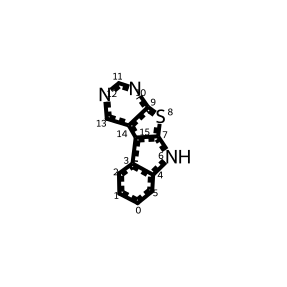 c1ccc2c(c1)[nH]c1sc3ncncc3c12